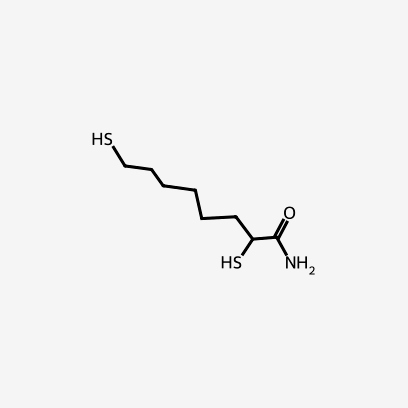 NC(=O)C(S)CCCCCCS